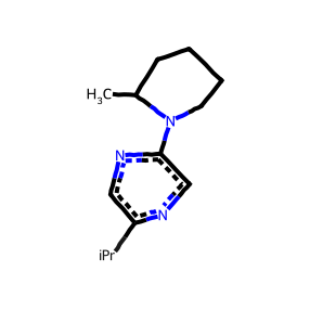 CC(C)c1cnc(N2CCCCC2C)cn1